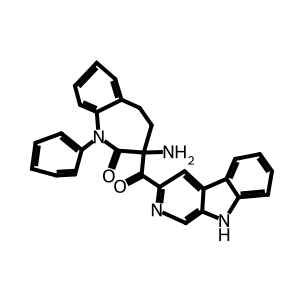 NC1(C(=O)c2cc3c(cn2)[nH]c2ccccc23)CCc2ccccc2N(c2ccccc2)C1=O